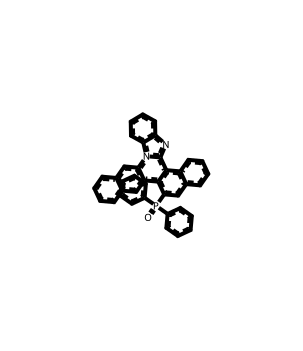 O=P(c1ccccc1)(c1ccccc1)c1cc2ccccc2c2c1c1cc3ccccc3cc1n1c3ccccc3nc21